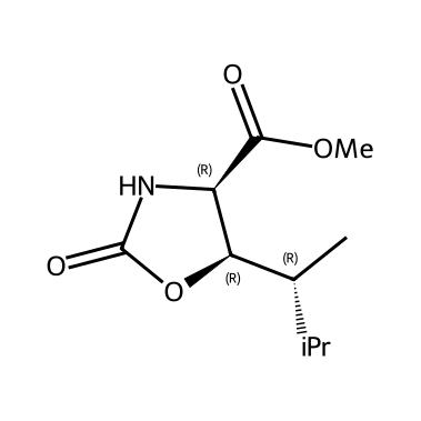 COC(=O)[C@@H]1NC(=O)O[C@@H]1[C@H](C)C(C)C